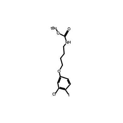 CC(C)(C)OC(=O)NCCCCOc1ccc(I)c(Cl)c1